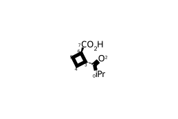 CC(C)C(=O)[C@@H]1CC[C@H]1C(=O)O